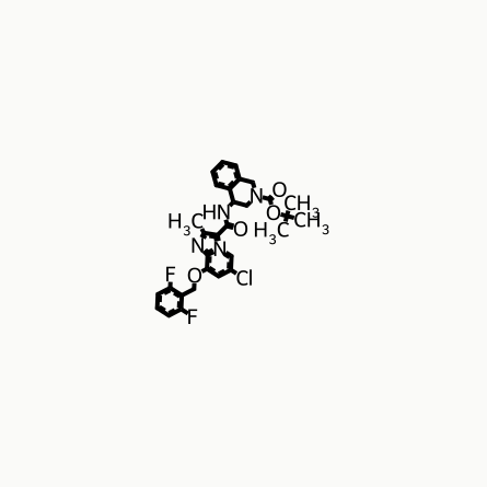 Cc1nc2c(OCc3c(F)cccc3F)cc(Cl)cn2c1C(=O)NC1CN(C(=O)OC(C)(C)C)Cc2ccccc21